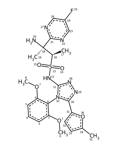 COc1cccc(OC)c1-n1c(NS(=O)(=O)[C@H](C)[C@@](C)(N)c2ncc(F)cn2)nnc1-c1ccc(C)o1